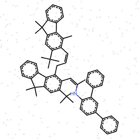 C/C(=C/c1c(C(C)(C)C)cc2c(c1C/C=C\c1c(C(C)(C)C)cc3c(c1C)-c1ccccc1C3(C)C)-c1ccccc1C2(C)C)Nc1ccc(-c2ccccc2)cc1-c1ccccc1